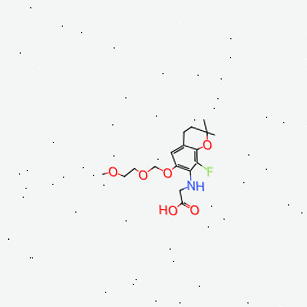 COCCOCOc1cc2c(c(F)c1NCC(=O)O)OC(C)(C)CC2